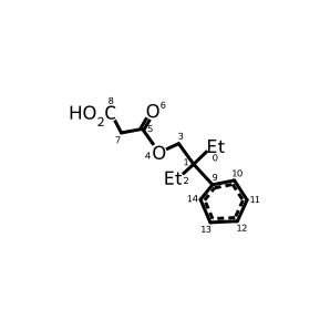 CCC(CC)(COC(=O)CC(=O)O)c1ccccc1